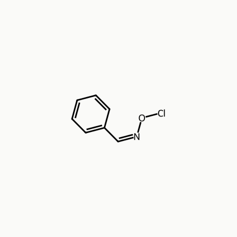 ClO/N=C\c1ccccc1